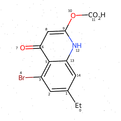 CCc1cc(Br)c2c(=O)cc(OC(=O)O)[nH]c2c1